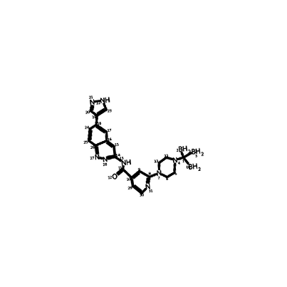 BC(B)(B)N1CCN(c2cc(C(=O)Nc3cc4cc(-c5cn[nH]c5)ccc4nn3)ccn2)CC1